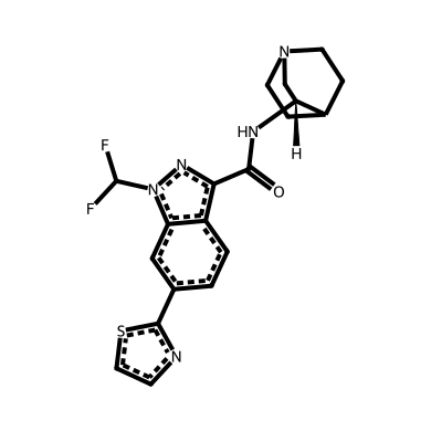 O=C(N[C@@H]1CN2CCC1CC2)c1nn(C(F)F)c2cc(-c3nccs3)ccc12